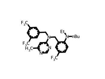 CCCCN(CC)c1ccc(C(F)(F)F)cc1CN(Cc1cc(C(F)(F)F)cc(C(F)(F)F)c1)c1cc(C)ncn1